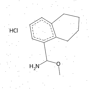 COC(N)c1cccc2c1CCCC2.Cl